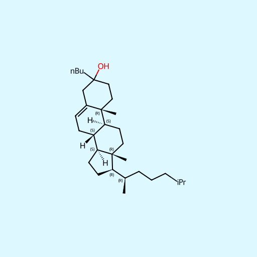 CCCCC1(O)CC[C@@]2(C)C(=CC[C@H]3[C@@H]4CC[C@H]([C@H](C)CCCC(C)C)[C@@]4(C)CC[C@@H]32)C1